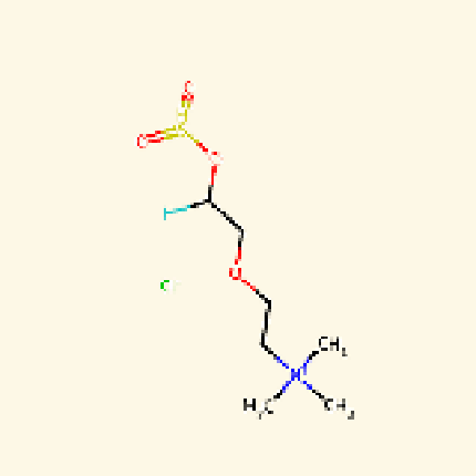 C[N+](C)(C)CCOCC(F)O[SH](=O)=O.[Cl-]